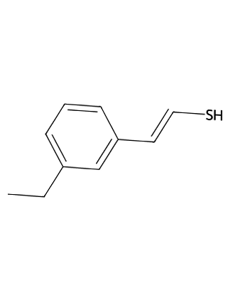 CCc1cccc(/C=C/S)c1